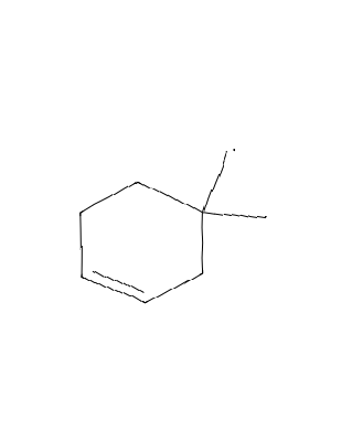 [CH2]C1(C)CC=CCC1